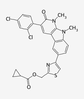 Cn1c(=O)c(-c2ccc(Cl)cc2Cl)cc2c3cc(-c4csc(COC(=O)C5CC5)n4)ccc3n(C)c21